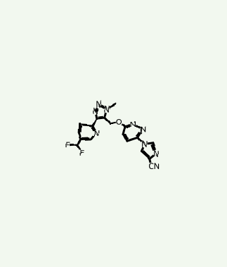 Cn1nnc(-c2ccc(C(F)F)cn2)c1COc1ccc(-n2cnc(C#N)c2)nn1